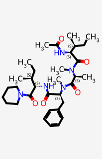 CC[C@H](C)[C@H](NC(=O)[C@H](Cc1ccccc1)N(C)C(=O)[C@H](C)N(C)C(=O)[C@@H](NC(C)=O)[C@@H](C)CC)C(=O)N1CCCCC1